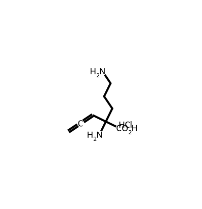 C=C=CC(N)(CCCN)C(=O)O.Cl